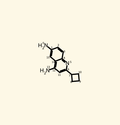 Nc1ccc2nc(C3CCC3)cc(N)c2c1